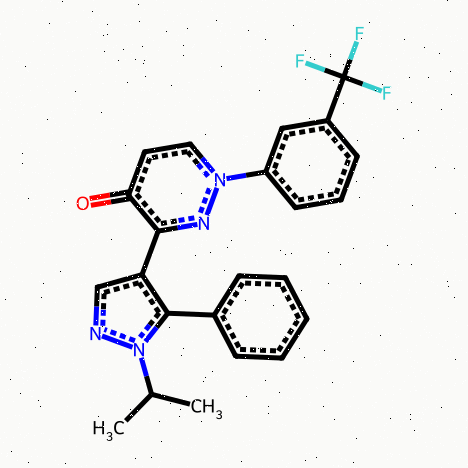 CC(C)n1ncc(-c2nn(-c3cccc(C(F)(F)F)c3)ccc2=O)c1-c1ccccc1